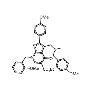 CCOC(=O)c1cn(Cc2ccccc2OC)c2sc(-c3ccc(OC)cc3)c(CN(C)Cc3ccc(OC)cc3)c2c1=O